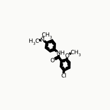 COc1ccc(Cl)cc1C(=O)Nc1ccc(N(C)C)cc1